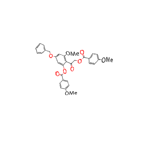 COc1ccc(C(=O)OCC(=O)c2c(OC)cc(OCc3ccccc3)cc2OC(=O)c2ccc(OC)cc2)cc1